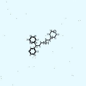 c1ccc(C(CCNCCN2CCOCC2)c2ccccn2)cc1